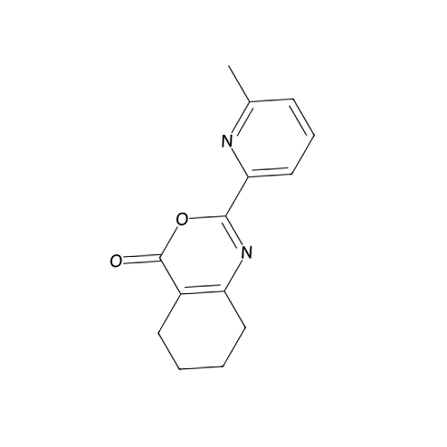 Cc1cccc(-c2nc3c(c(=O)o2)CCCC3)n1